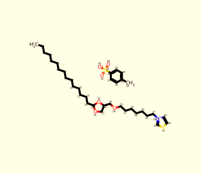 CCCCCCCCCCCCCCCC1OCC(COCCCCCCC[n+]2ccsc2)O1.Cc1ccc(S(=O)(=O)[O-])cc1